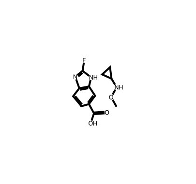 CONC1CC1.O=C(O)c1ccc2nc(F)[nH]c2c1